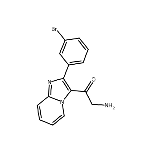 NCC(=O)c1c(-c2cccc(Br)c2)nc2ccccn12